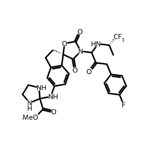 COC(=O)C1(Nc2ccc3c(c2)CC[C@@]32OC(=O)N(C(N[C@@H](C)C(F)(F)F)C(=O)Cc3ccc(F)cc3)C2=O)NCCN1